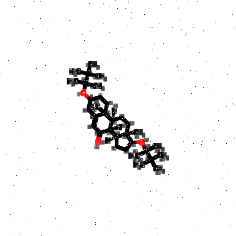 CC(C)(C)[Si](C)(C)O[C@H]1CC[C@@]2(C)C(=CC(=O)[C@H]3[C@@H]4CC[C@H](O[Si](C)(C)C(C)(C)C)[C@@]4(C)CC[C@@H]32)C1